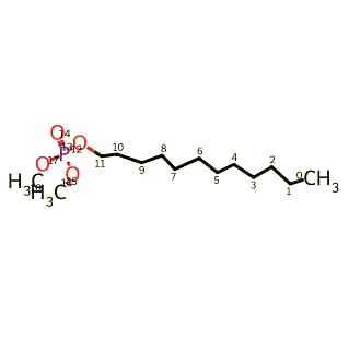 CCCCCCCCCCCCOP(=O)(OC)OC